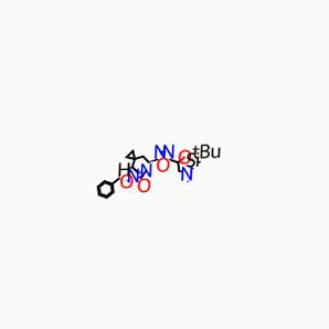 CN(C)CC(O[Si](C)(C)C(C)(C)C)c1nnc([C@@H]2CC3(CC3)[C@@H]3CN2C(=O)N3OCc2ccccc2)o1